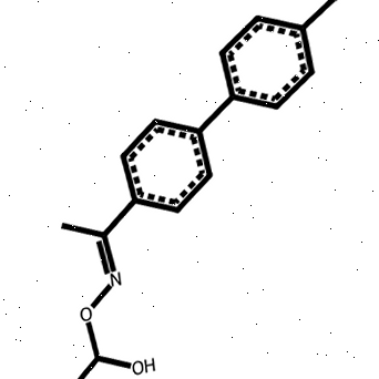 CC(=NOC(C)O)c1ccc(-c2ccc(F)cc2)cc1